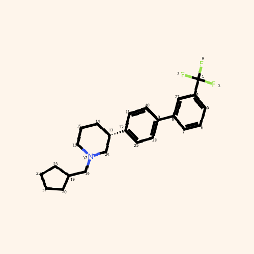 FC(F)(F)c1cccc(-c2ccc([C@H]3CCCN(CC4CCCC4)C3)cc2)c1